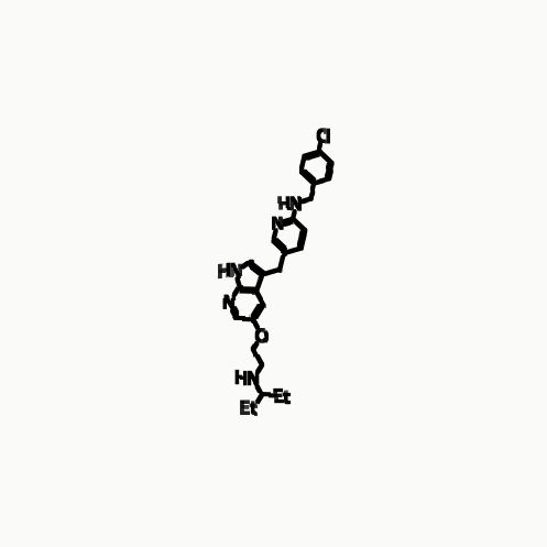 CCC(CC)NCCOc1cnc2[nH]cc(Cc3ccc(NCc4ccc(Cl)cc4)nc3)c2c1